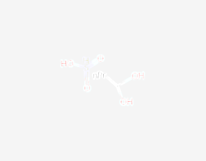 CCCC(O)O.O=[SH](=O)O